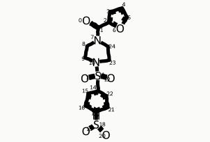 O=C(c1ccco1)N1CCN(S(=O)(=O)c2ccc([SH](=O)=O)cc2)CC1